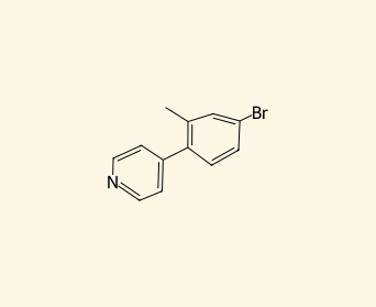 Cc1cc(Br)ccc1-c1ccncc1